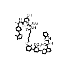 Cc1ncsc1-c1ccc([C@H](C)NC(=O)[C@@H]2C[C@@H](O)CN2C(=O)[C@@H](NC(=O)CCCCCOc2cccc(-c3ccc(N4CCc5cccc(C(=O)Nc6nc7ccccc7s6)c5C4)nc3C(=O)O)c2C)C(C)(C)C)cc1